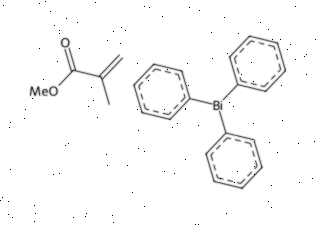 C=C(C)C(=O)OC.c1cc[c]([Bi]([c]2ccccc2)[c]2ccccc2)cc1